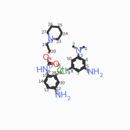 CN(C)c1cc(N)cc(Cl)c1.Nc1ccc(NC(=O)OCCN2CCCCC2)c(Cl)c1